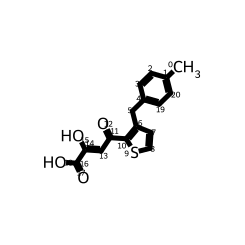 Cc1ccc(Cc2ccsc2C(=O)C=C(O)C(=O)O)cc1